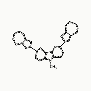 Cn1c2ccc(-c3cc4cccccc-4c3)cc2c2cc(-c3cc4cccccc-4c3)ccc21